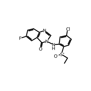 CC[S+]([O-])c1ccc(Cl)cc1Nn1cnc2ccc(F)cc2c1=O